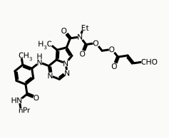 CCCNC(=O)c1ccc(C)c(Nc2ncnn3cc(C(=O)N(CC)C(=O)OCOC(=O)/C=C/C=O)c(C)c23)c1